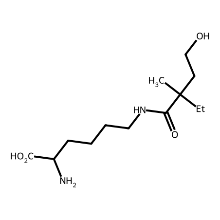 CCC(C)(CCO)C(=O)NCCCCC(N)C(=O)O